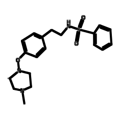 CN1C[CH]N(Oc2ccc(CCNS(=O)(=O)c3ccccc3)cc2)CC1